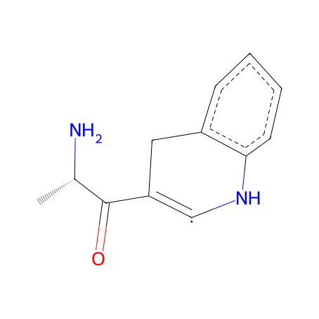 C[C@H](N)C(=O)C1=[C]Nc2ccccc2C1